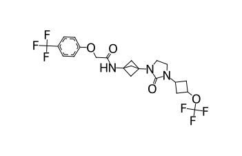 O=C(COc1ccc(C(F)(F)F)cc1)NC12CC(N3CCN(C4CC(OC(F)(F)F)C4)C3=O)(C1)C2